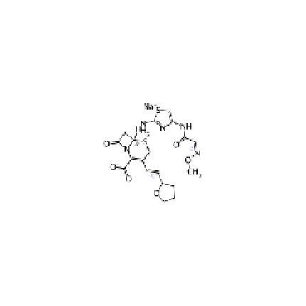 CO/N=C\C(=O)Nc1csc(N)n1.O=C([O-])C1=C(/C=C/C2CCCO2)CS[C@H]2CC(=O)N12.[Na+]